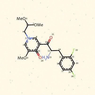 COc1cn(CC(OC)OC)cc(C(=O)[C@@H](N)Cc2ccc(F)cc2F)c1=O